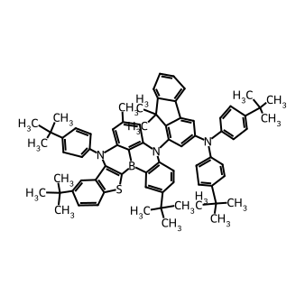 Cc1cc2c3c(c1)N(c1ccc(C(C)(C)C)cc1)c1c(sc4ccc(C(C)(C)C)cc14)B3c1cc(C(C)(C)C)ccc1N2c1cc(N(c2ccc(C(C)(C)C)cc2)c2ccc(C(C)(C)C)cc2)cc2c1C(C)(C)c1ccccc1-2